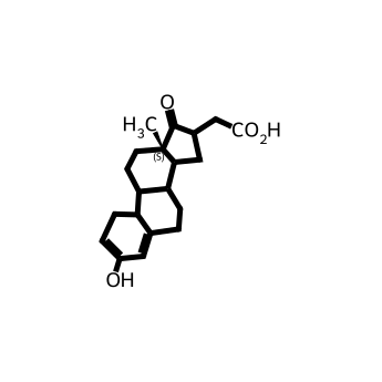 C[C@]12CCC3C4CC=C(O)C=C4CCC3C1CC(CC(=O)O)C2=O